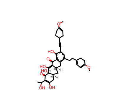 COC1=CC=C(CCc2cc(C#CC3CC=C(OC)CC3)c(O)c3c2C[C@H]2C[C@H]4CC(O)=C(C(C)O)C(=O)[C@@]4(O)C(O)=C2C3=O)CC1